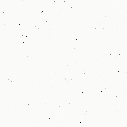 CCOC(=O)C(CC)C(=O)OC(=O)c1cnc(Cl)c(Cl)c1